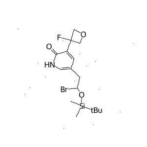 CC(C)(C)[Si](C)(C)OC(Br)Cc1c[nH]c(=O)c(C2(F)COC2)c1